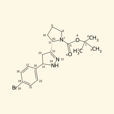 CC(C)(C)OC(=O)N1CCC[C@H]1C1=NNC(c2ccc(Br)cc2)C1